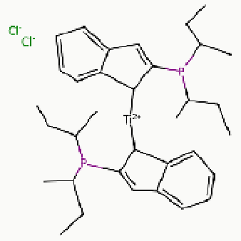 CCC(C)P(C1=Cc2ccccc2[CH]1[Ti+2][CH]1C(P(C(C)CC)C(C)CC)=Cc2ccccc21)C(C)CC.[Cl-].[Cl-]